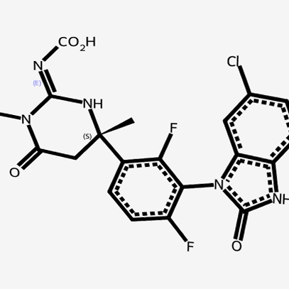 CN1C(=O)C[C@@](C)(c2ccc(F)c(-n3c(=O)[nH]c4ccc(Cl)cc43)c2F)N/C1=N\C(=O)O